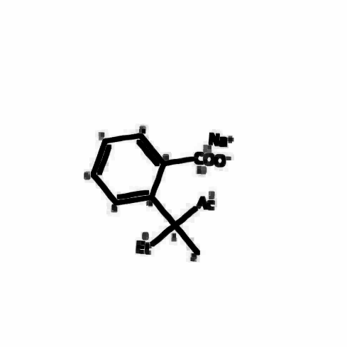 CCC(C)(C(C)=O)c1ccccc1C(=O)[O-].[Na+]